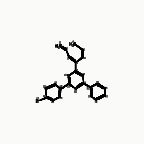 C=C/C=C(\C=C/C)c1cc(-c2ccccc2)nc(-c2ccc(Br)cc2)n1